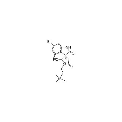 C=CC[C@@]1(C(O)OCC[Si](C)(C)C)C(=O)Nc2cc(Br)cc(Br)c21